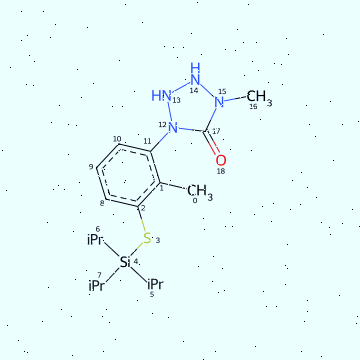 Cc1c(S[Si](C(C)C)(C(C)C)C(C)C)cccc1N1NNN(C)C1=O